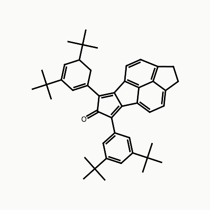 CC(C)(C)C1=CC(C(C)(C)C)CC(C2=C3C(=C(c4cc(C(C)(C)C)cc(C(C)(C)C)c4)C2=O)c2ccc4c5c(ccc3c25)CC4)=C1